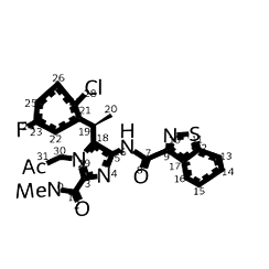 CNC(=O)c1nc(NC(=O)c2nsc3ccccc23)c([C@H](C)c2cc(F)ccc2Cl)n1CC(C)=O